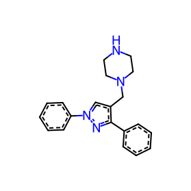 c1ccc(-c2nn(-c3ccccc3)cc2CN2CCNCC2)cc1